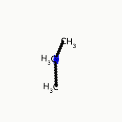 CCCCCCCCCCCCCCCCCCCN1C=CN(CCCCCCCCCCCCCC)C1C